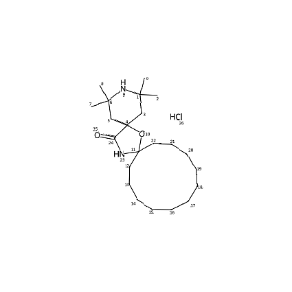 CC1(C)CC2(CC(C)(C)N1)OC1(CCCCCCCCCCC1)NC2=O.Cl